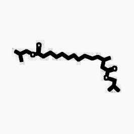 CC(C)COC(=O)CCCCCCCCCCC(C)CC(=O)OCC(C)C